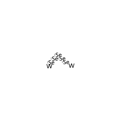 [Se].[Se].[Se].[Se].[Se].[W].[W]